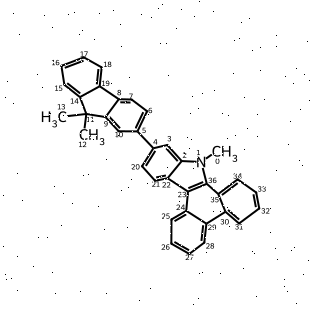 Cn1c2cc(-c3ccc4c(c3)C(C)(C)c3ccccc3-4)ccc2c2c3ccccc3c3ccccc3c21